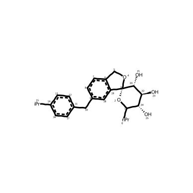 CCCC1O[C@]2(OCc3ccc(Cc4ccc(C(C)C)cc4)cc32)[C@H](O)[C@@H](O)[C@@H]1O